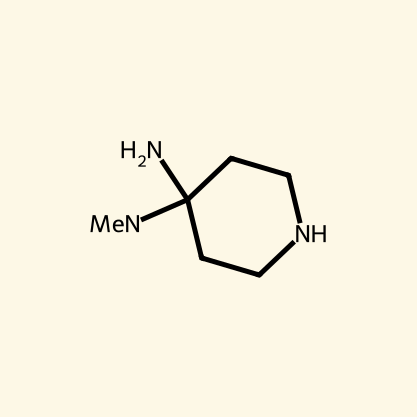 CNC1(N)CCNCC1